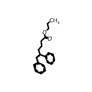 CCCOC(=O)CCCC(Cc1ccccc1)c1ccccc1